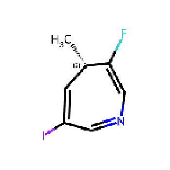 C[C@H]1C=C(I)C=NC=C1F